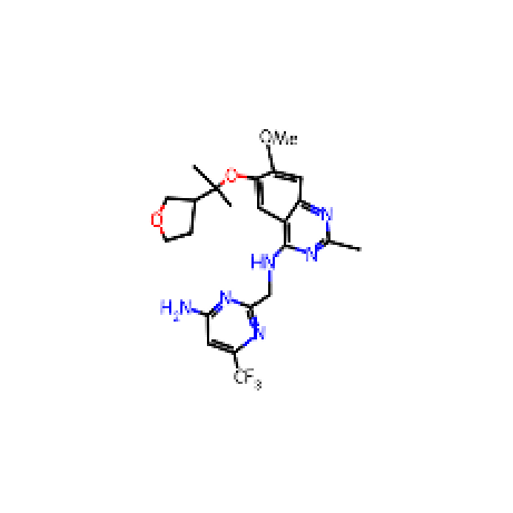 COc1cc2nc(C)nc(NCc3nc(N)cc(C(F)(F)F)n3)c2cc1OC(C)(C)C1CCOC1